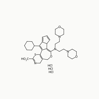 Cl.Cl.Cl.O=C(O)C1=NCC2=C(S1)C1=C(C3CCCCC3)C3=CC=CC3C1=C(N(CCN1CCOCC1)CCN1CCOCC1)OC2